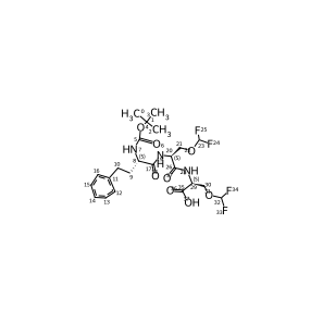 CC(C)(C)OC(=O)N[C@@H](CCc1ccccc1)C(=O)N[C@@H](COC(F)F)C(=O)N[C@@H](COC(F)F)C(=O)O